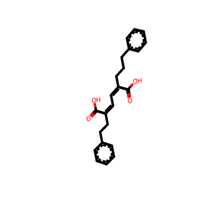 O=C(O)C(=CC=C(CCc1ccccc1)C(=O)O)CCCc1ccccc1